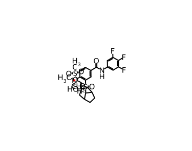 CN(C)c1ccc(C(=O)Nc2cc(F)c(F)c(F)c2)cc1S(=O)(=O)[C@H]1C2CCC1C[C@](O)(COS(C)(=O)=O)C2